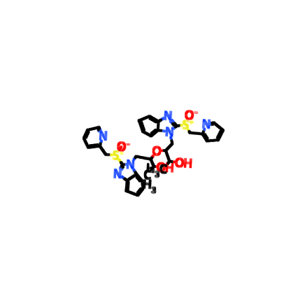 CC(O)C(Cn1c([S+]([O-])Cc2ccccn2)nc2ccccc21)OC(Cn1c([S+]([O-])Cc2ccccn2)nc2ccccc21)C(C)O